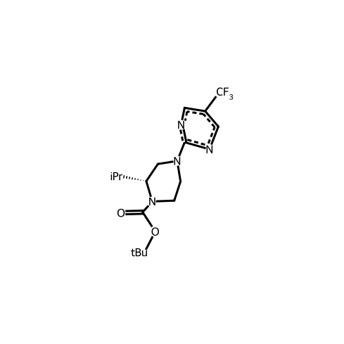 CC(C)[C@@H]1CN(c2ncc(C(F)(F)F)cn2)CCN1C(=O)OC(C)(C)C